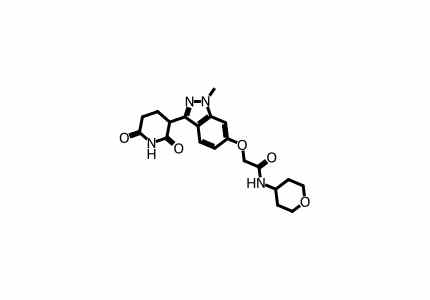 Cn1nc(C2CCC(=O)NC2=O)c2ccc(OCC(=O)NC3CCOCC3)cc21